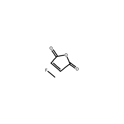 CF.O=C1C=CC(=O)O1